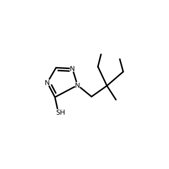 CCC(C)(CC)Cn1ncnc1S